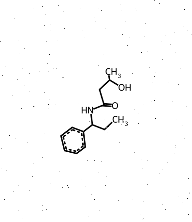 CCC(NC(=O)CC(C)O)c1ccccc1